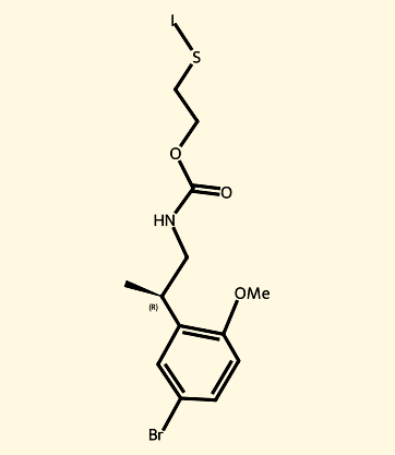 COc1ccc(Br)cc1[C@@H](C)CNC(=O)OCCSI